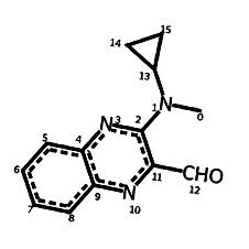 CN(c1nc2ccccc2nc1C=O)C1CC1